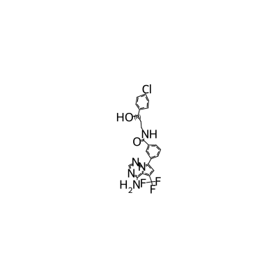 Nc1ncnn2c(-c3cccc(C(=O)NCC[C@@H](O)c4ccc(Cl)cc4)c3)cc(C(F)(F)F)c12